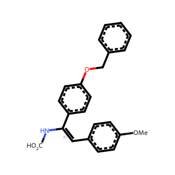 COc1ccc(/C=C(/NC(=O)O)c2ccc(OCc3ccccc3)cc2)cc1